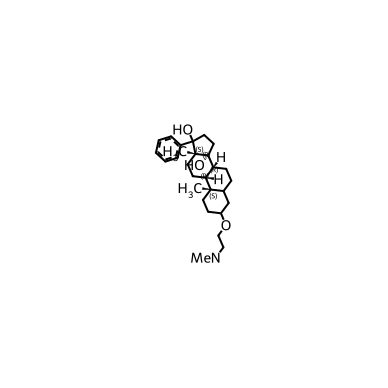 CNCCOC1CC[C@@]2(C)C(CC[C@@H]3[C@H]2CC[C@]2(C)C(O)(c4ccccc4)CC[C@@]32O)C1